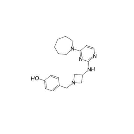 Oc1ccc(CN2CC(Nc3nccc(N4CCCCCC4)n3)C2)cc1